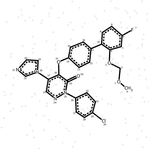 COCOc1cc(F)ccc1-c1ccc(Oc2c(-n3ccnc3)cnn(-c3ccc(Cl)cc3)c2=O)cc1